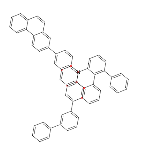 c1ccc(-c2cccc(-c3ccc(N(c4ccc(-c5ccc6c(ccc7ccccc76)c5)cc4)c4cccc(-c5ccccc5)c4-c4ccccc4-c4ccccc4)cc3)c2)cc1